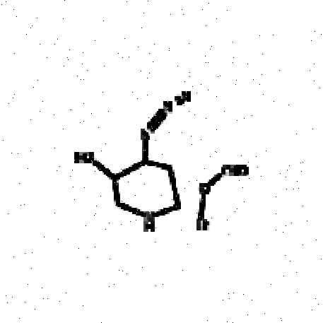 CCOC=O.[N-]=[N+]=NC1CCNCC1O